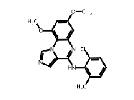 COc1cc(OC)c2c(c1)nc(Nc1c(C)cccc1Cl)c1cncn12